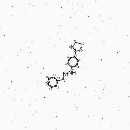 C(=NNc1ccc(C2=NCCS2)cc1)c1ccncc1